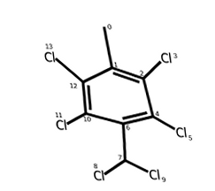 Cc1c(Cl)c(Cl)c(C(Cl)Cl)c(Cl)c1Cl